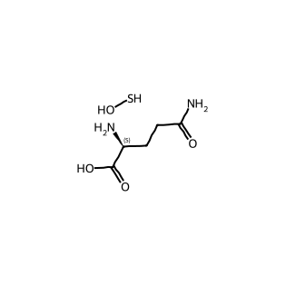 NC(=O)CC[C@H](N)C(=O)O.OS